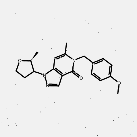 COc1ccc(Cn2c(C)cc3c(cnn3C3CCO[C@H]3C)c2=O)cc1